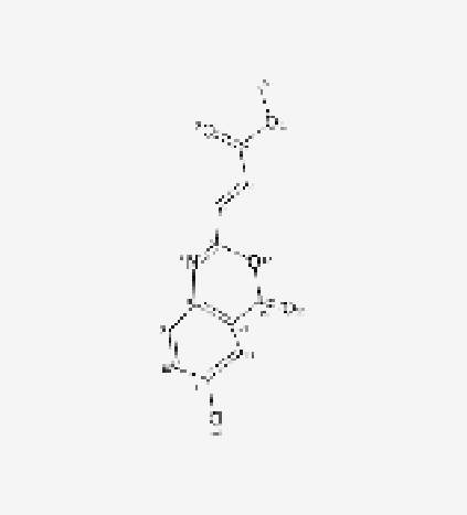 COC(=O)C=Cc1nc2ccc(Cl)cc2c(=O)o1